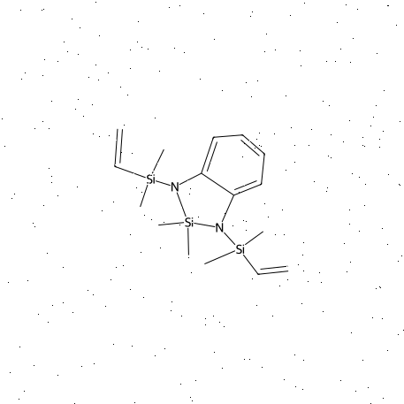 C=C[Si](C)(C)N1c2ccccc2N([Si](C)(C)C=C)[Si]1(C)C